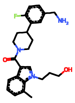 Cc1cccc2c(C(=O)N3CCC(c4cc(CN)ccc4F)CC3)cn(CCCO)c12